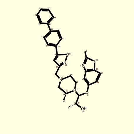 Cc1nc2cc(OC([C@@H](C)O)N3CCN(Cc4cc(-c5ccc(-c6ccccc6)cc5)on4)C[C@@H]3C)ccc2s1